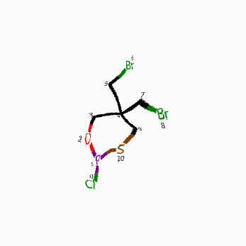 ClP1OCC(CBr)(CBr)CS1